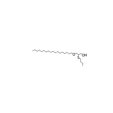 CCCCCCCCCCCCCCCCCCOCC(CO)SCCCC